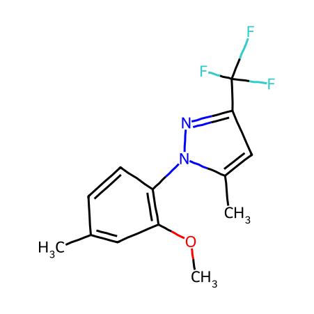 COc1cc(C)ccc1-n1nc(C(F)(F)F)cc1C